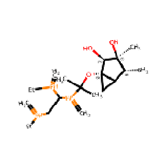 B[C@@H]1C2C[C@@]2(OC(C)(C)[PH](=C)C(C[PH](=C)CC)[PH](=C)CC)[C@@H](O)[C@@]1(C)O